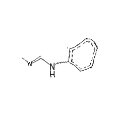 CN=CNc1[c]cccc1